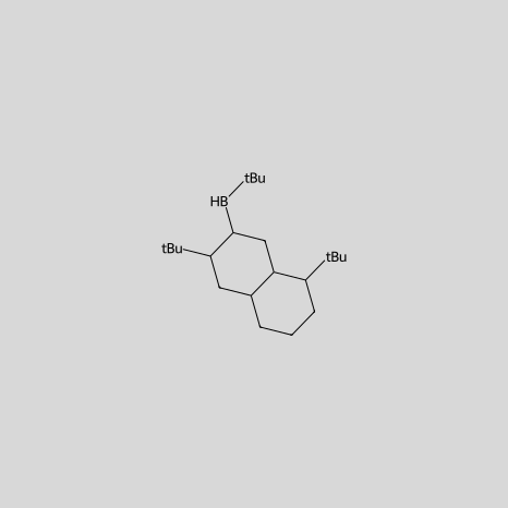 CC(C)(C)BC1CC2C(CCCC2C(C)(C)C)CC1C(C)(C)C